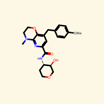 COc1ccc(Cc2cc(C(=O)N[C@H]3CCOC[C@@H]3O)nc3c2OCCN3C)cc1